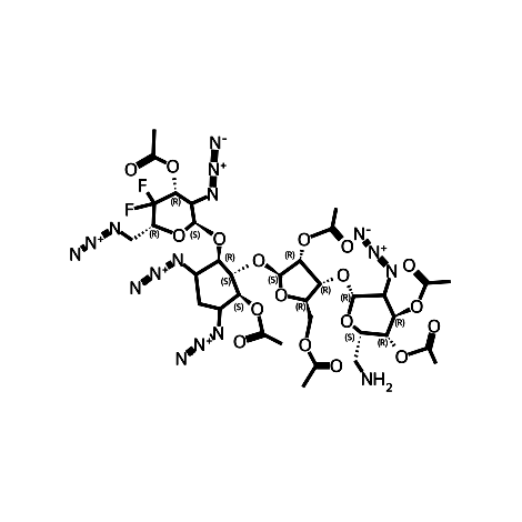 CC(=O)OC[C@H]1O[C@@H](O[C@H]2[C@H](O[C@H]3O[C@H](CN=[N+]=[N-])C(F)(F)[C@H](OC(C)=O)C3N=[N+]=[N-])C(N=[N+]=[N-])CC(N=[N+]=[N-])[C@@H]2OC(C)=O)[C@H](OC(C)=O)[C@@H]1O[C@H]1O[C@@H](CN)[C@@H](OC(C)=O)[C@H](OC(C)=O)C1N=[N+]=[N-]